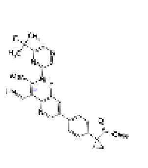 CN/C(Nc1cncc(C(C)(C)F)n1)=C(\C=N)c1ncc(-c2ccc(C3(C(=O)OC)CC3)cc2)cc1F